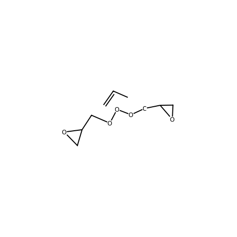 C(OOOCC1CO1)C1CO1.C=CC